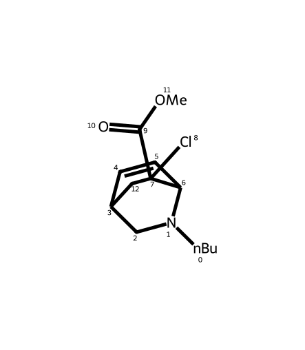 CCCCN1CC2C=CC1C(Cl)(C(=O)OC)C2